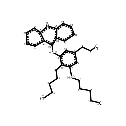 OCCc1cc(NCCCCCl)c(CCCCCl)c(Nc2c3ccccc3nc3ccccc23)c1